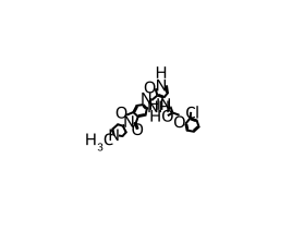 CN1CCC(N2C(=O)c3cc4nc(-c5c(NCC(O)COc6ccccc6Cl)cc[nH]c5=O)[nH]c4cc3C2=O)CC1